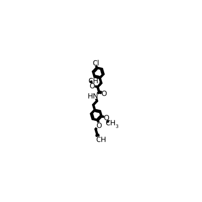 C#CCOc1ccc(CCNC(=O)C(Cc2ccc(Cl)cc2)OC)cc1OC